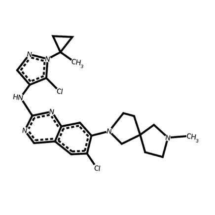 CN1CCC2(CCN(c3cc4nc(Nc5cnn(C6(C)CC6)c5Cl)ncc4cc3Cl)C2)C1